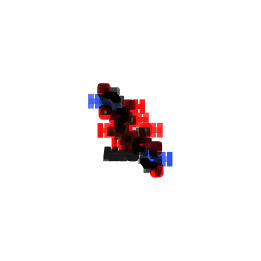 COC1[C@@H](n2ccc(=O)[nH]c2=O)O[C@@H](CO)C1(O)OP(O)(=S)OC(O)[C@@H]1O[C@H](n2ccc(=O)[nH]c2=O)C(O)C1O